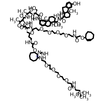 CC(C)[C@H](NC(=O)[C@@H](CCCCNC(=O)COC1CCCCC/C(NCCOCCOCCOCCOCCC(=O)NCC[N+](C)(C)C)=C\1N=N)NC(=O)CCOCCOCCOCCOCCNC(=O)COC1C#CCCCCC1)C(=O)N[C@@H](C)C(=O)N[C@@H](CO)C(=O)Nc1ccc2c(c1)[C@@]1(C)CCC[C@](C)(C(=O)NC(=O)[C@@]3(C)CCC[C@]4(C)c5cc(O)ccc5CC[C@@H]34)[C@@H]1CC2